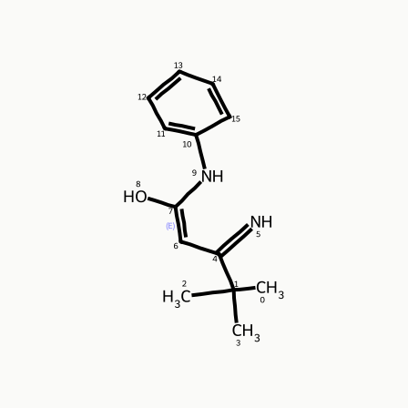 CC(C)(C)C(=N)/C=C(/O)Nc1ccccc1